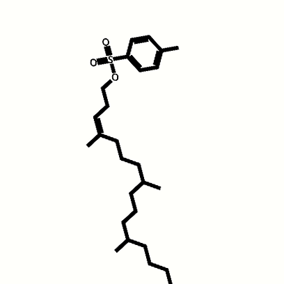 CC(=CCCOS(=O)(=O)c1ccc(C)cc1)CCCC(C)CCCC(C)CCCC(C)C